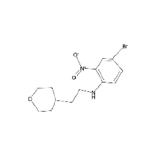 O=[N+]([O-])c1cc(Br)ccc1NCCC1CCOCC1